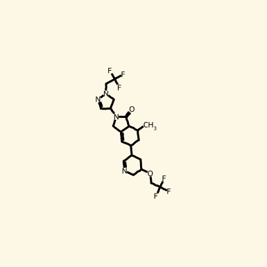 CC1CC(C2C=NCC(OCC(F)(F)F)C2)C=C2CN(C3C=NN(CC(F)(F)F)C3)C(=O)C21